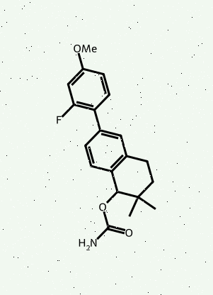 COc1ccc(-c2ccc3c(c2)CCC(C)(C)C3OC(N)=O)c(F)c1